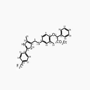 CCOC(=O)C(Oc1ccc(SCc2sc(-c3ccc(C(F)(F)F)cc3)nc2C)cc1C)c1ccccc1